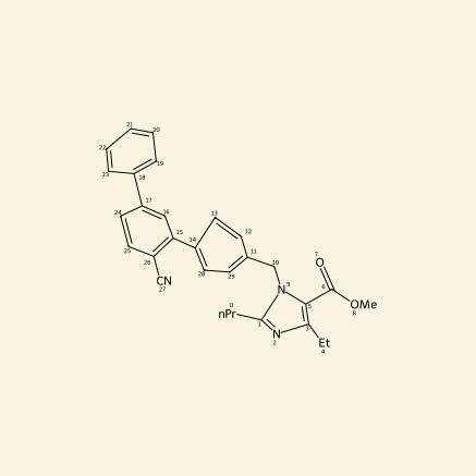 CCCc1nc(CC)c(C(=O)OC)n1Cc1ccc(-c2cc(-c3ccccc3)ccc2C#N)cc1